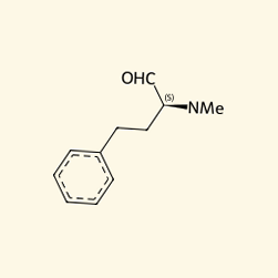 CN[C@H](C=O)CCc1ccccc1